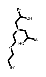 CCC(O)CN(CCOCCC(C)C)CC(O)CC